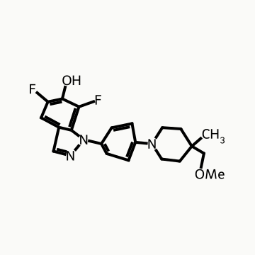 COCC1(C)CCN(c2ccc(-n3ncc4cc(F)c(O)c(F)c43)cc2)CC1